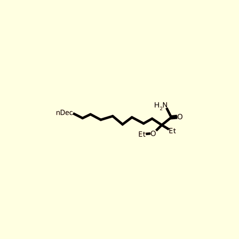 [CH2]CC(CCCCCCCCCCCCCCCCCC)(OCC)C(N)=O